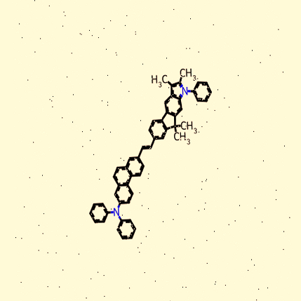 Cc1c(C)n(-c2ccccc2)c2cc3c(cc12)-c1ccc(/C=C/c2ccc4c(ccc5cc(N(c6ccccc6)c6ccccc6)ccc54)c2)cc1C3(C)C